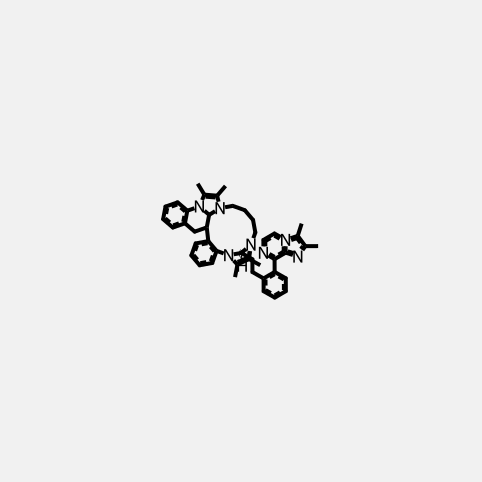 CC1=C(C)N2c3ccccc3CC3c4ccccc4N4C(C)=C(C)N(CCCCN1C32)[C@H]4CCc1ccccc1-c1nccn2c(C)c(C)nc12